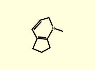 CN1CC=CC2=C1CCC2